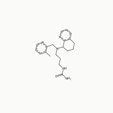 Cc1cccnc1CN(CCCNC(N)=O)C1CCCc2cccnc21